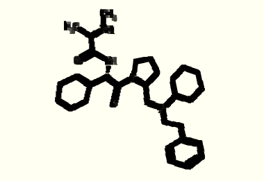 CNC(C)C(=O)N[C@H](C(=O)N1CCCC1CN(CCc1ccccc1)C1CCCCC1)C1CCCCC1